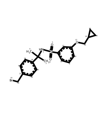 CC(C)(NS(=O)(=O)c1cccc(OCC2CC2)c1)c1ccc(CBr)cc1